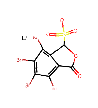 O=C1OC(S(=O)(=O)[O-])c2c(Br)c(Br)c(Br)c(Br)c21.[Li+]